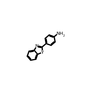 Nc1ccc([C]2=Nc3cccc[c]3[Y]2)cc1